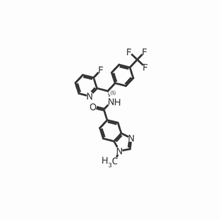 Cn1cnc2cc(C(=O)N[C@@H](c3ccc(C(F)(F)F)cc3)c3ncccc3F)ccc21